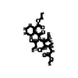 CCOC(=O)C1=C(C(=O)N(C(=O)CC)c2c(F)sc(CC(=O)OC)c2Cl)CCCC1